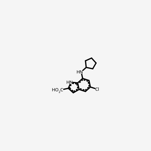 O=C(O)c1cc2cc(Cl)cc(NC3CCCC3)c2[nH]1